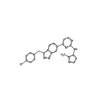 Cn1nccc1Nc1nccc(-c2ccn3c(Cc4ccc(Cl)cc4)nnc3c2)n1